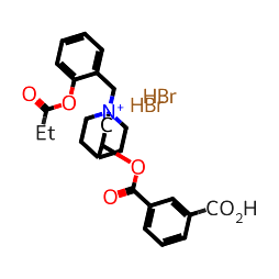 Br.Br.CCC(=O)Oc1ccccc1C[N+]12CCC(CC1)C(OC(=O)c1cccc(C(=O)O)c1)C2